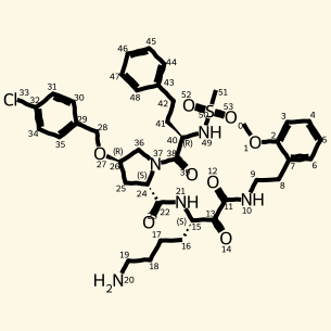 COc1ccccc1CCNC(=O)C(=O)[C@H](CCCCN)NC(=O)[C@@H]1C[C@@H](OCc2ccc(Cl)cc2)CN1C(=O)[C@@H](CCc1ccccc1)NS(C)(=O)=O